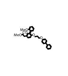 COc1ccccc1-c1cc(CC(OC)C(=O)O)ccc1OCCCOc1ccc(-c2ccccc2)cc1